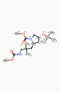 CC(C)(CNC(=O)OC(C)(C)C)C[C@@H]1C[C@@H](O[Si](C)(C)C(C)(C)C)CN1C(=O)OC(C)(C)C